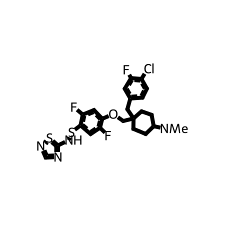 CNC1CCC(COc2cc(F)c(SNc3ncns3)cc2F)(Cc2ccc(Cl)c(F)c2)CC1